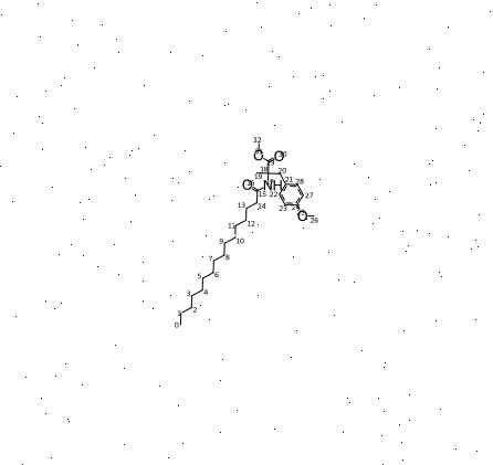 CCCCCCCCCCCCCCCC(=O)NC(C)(Cc1ccc(OC)cc1)C(=O)OC